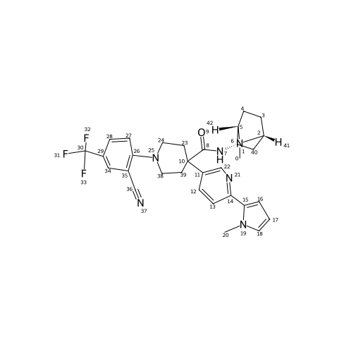 CN1[C@@H]2CC[C@H]1[C@@H](NC(=O)C1(c3ccc(-c4cccn4C)nc3)CCN(c3ccc(C(F)(F)F)cc3C#N)CC1)C2